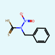 O=[N+]([O-])N(Cc1ccccc1)C(=S)S